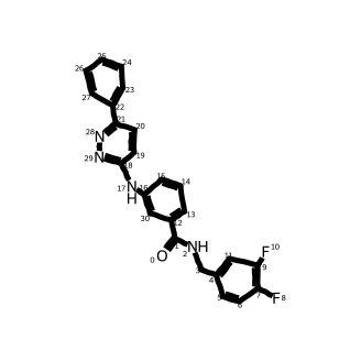 O=C(NCc1ccc(F)c(F)c1)c1cccc(Nc2ccc(-c3ccccc3)nn2)c1